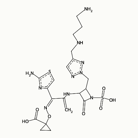 C=C(NC1C(=O)N(S(=O)(=O)O)C1Cn1ncc(CNCCCN)n1)/C(=N\OC1(C(=O)O)CC1)c1csc(N)n1